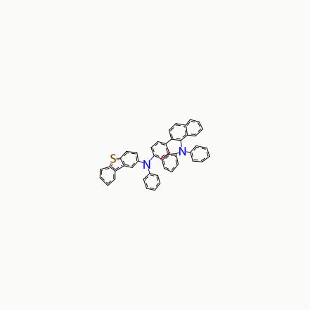 c1ccc(N(c2ccc(-c3ccc4ccccc4c3N(c3ccccc3)c3ccccc3)cc2)c2ccc3sc4ccccc4c3c2)cc1